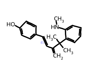 C=C(/C=C/c1ccc(O)cc1)C(C)(C)c1ccccc1NC